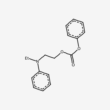 CCN(CCOC(=O)Oc1ccccc1)c1ccccc1